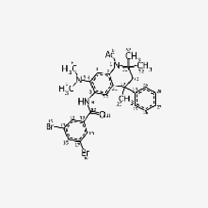 CC(=O)N1c2cc(N(C)C)c(NC(=O)c3cc(Br)cc(Br)c3)cc2C(C)(c2ccccc2)CC1(C)C